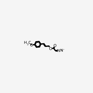 COc1ccc(C=CCOC(=O)C=[N+]=[N-])cc1